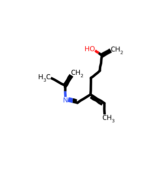 C=C(O)CCC(/C=N\C(=C)C)=C/C